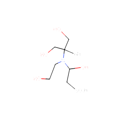 CCCC(CO)(CO)N(CCO)C(O)CS(=O)(=O)O